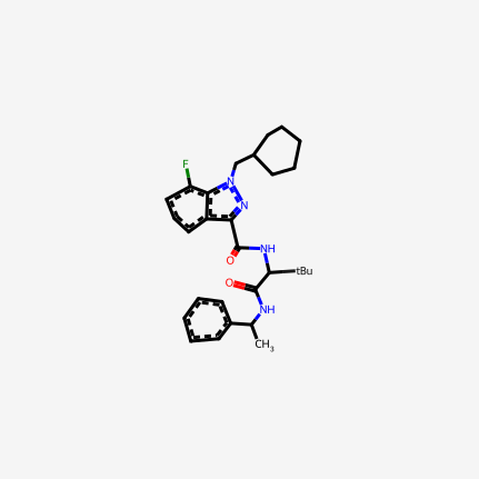 CC(NC(=O)C(NC(=O)c1nn(CC2CCCCC2)c2c(F)cccc12)C(C)(C)C)c1ccccc1